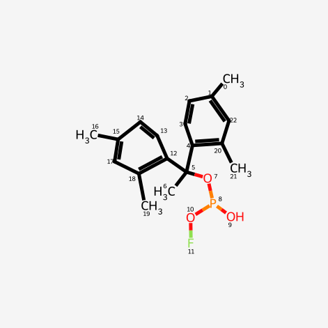 Cc1ccc(C(C)(OP(O)OF)c2ccc(C)cc2C)c(C)c1